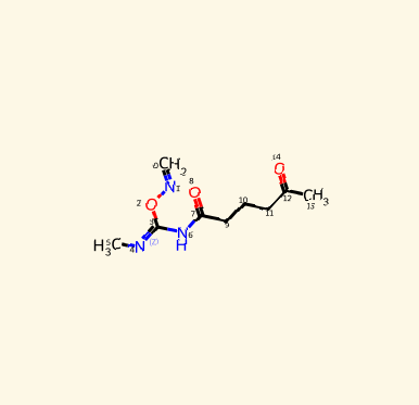 C=NO/C(=N\C)NC(=O)CCCC(C)=O